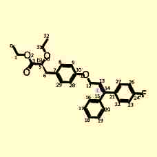 CCOC(=O)[C@H](Cc1ccc(OC/C=C(\c2ccccc2)c2ccc(F)cc2)cc1)OCC